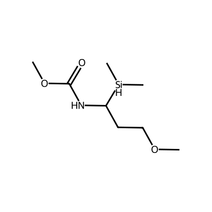 COCCC(NC(=O)OC)[SiH](C)C